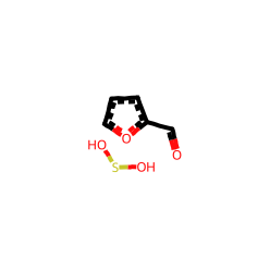 O=Cc1ccco1.OSO